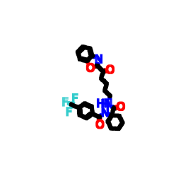 O=C(NC1(C(=O)NCCCCC(=O)c2nc3ccccc3o2)CCCCC1)c1ccc(C(F)(F)F)cc1